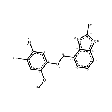 COc1cc(F)c(N)cc1OCc1cccc2sc(C)nc12